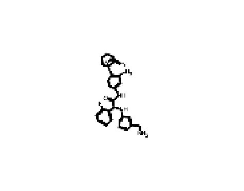 Cc1cc(NC(=O)C(Nc2cccc(CN)c2)c2ccccc2F)ccc1N1C(=O)C2CCC1CC2